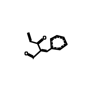 C=CC(=O)C([C]=O)=Cc1ccccc1